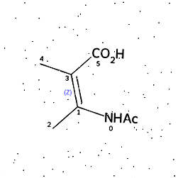 CC(=O)N/C(C)=C(/C)C(=O)O